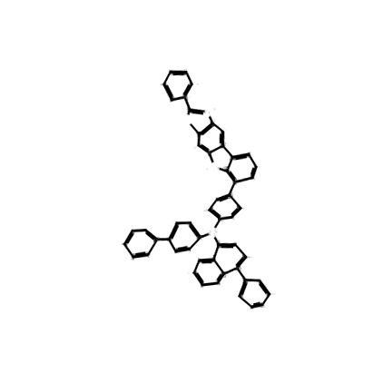 c1ccc(-c2ccc(N(c3ccc(-c4cccc5c4oc4cc6oc(-c7ccccc7)nc6cc45)cc3)c3ccc(-c4ccccc4)c4ccccc34)cc2)cc1